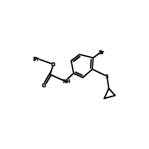 CC(C)OC(=O)Nc1ccc(Br)c(SC2CC2)c1